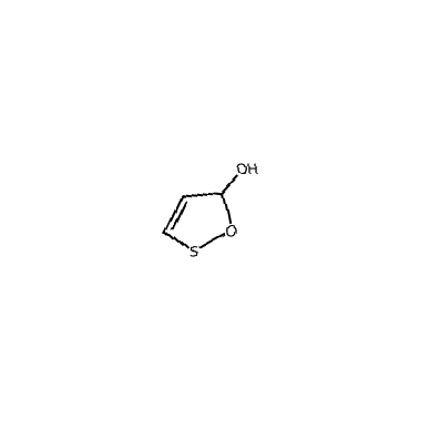 OC1C=CSO1